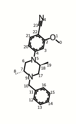 COc1cc(N2C[C@@H](C)N(Cc3ccccc3)C[C@@H]2C)ccc1C#N